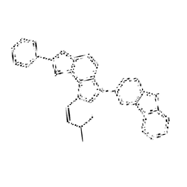 CC1C=Cc2c(n(-c3ccc4oc5ccccc5c4c3)c3ccc4cc(-c5ccccc5)sc4c23)C1